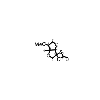 COC1COC2C3(COC12C)OC(C)S3